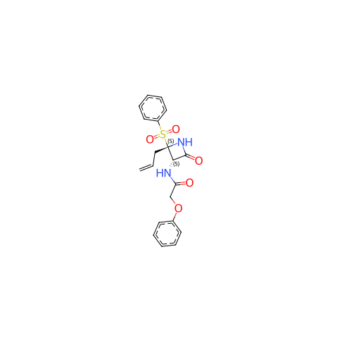 C=CC[C@@]1(S(=O)(=O)c2ccccc2)NC(=O)[C@@H]1NC(=O)COc1ccccc1